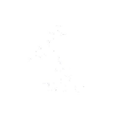 Cc1cnc2c(NC(=O)NC3(C)CC3)cc(C(=O)NC[C@](O)(c3cc4c(c(-c5ccc(F)cc5)n3)OC[C@]4(C)C(N)=O)C(F)(F)F)cc2c1